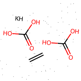 C=C.O=C(O)O.O=C(O)O.[KH]